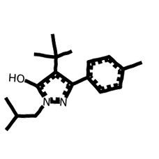 Cc1ccc(-c2nn(CC(C)C)c(O)c2C(C)(C)C)cc1